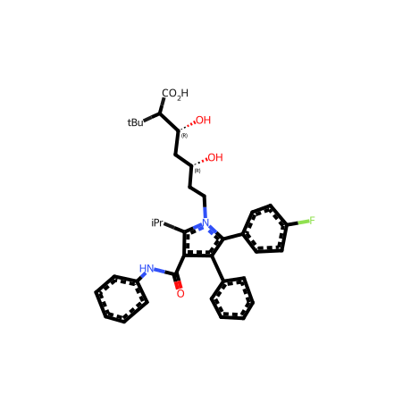 CC(C)c1c(C(=O)Nc2ccccc2)c(-c2ccccc2)c(-c2ccc(F)cc2)n1CC[C@@H](O)C[C@@H](O)C(C(=O)O)C(C)(C)C